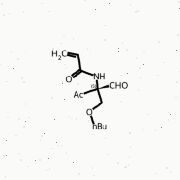 C=CC(=O)N[C@](C=O)(COCCCC)C(C)=O